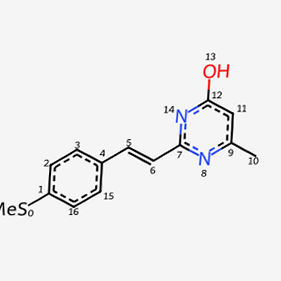 CSc1ccc(C=Cc2nc(C)cc(O)n2)cc1